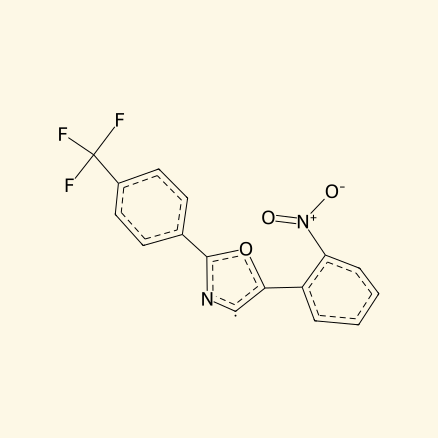 O=[N+]([O-])c1ccccc1-c1[c]nc(-c2ccc(C(F)(F)F)cc2)o1